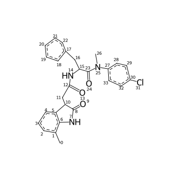 Cc1cccc2c1NC(=O)C2CC(=O)NC(Cc1ccccc1)C(=O)N(C)c1ccc(Cl)cc1